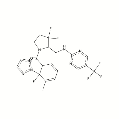 O=C(C1C=CC=C(F)C1(F)n1nccn1)N1CCC(F)(F)C1CNc1ncc(C(F)(F)F)cn1